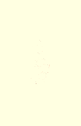 CC1(N)CCN(c2nnc(-c3cc(C(=O)O)ccn3)c(N)n2)CC1